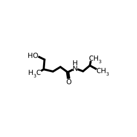 CC(C)CNC(=O)CCC(C)CO